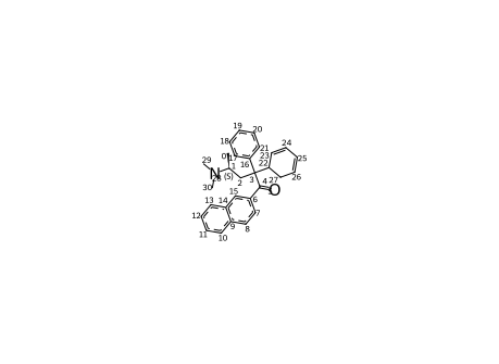 C[C@@H](CC(C(=O)c1ccc2ccccc2c1)(c1ccccc1)C1C=CC=CC1)N(C)C